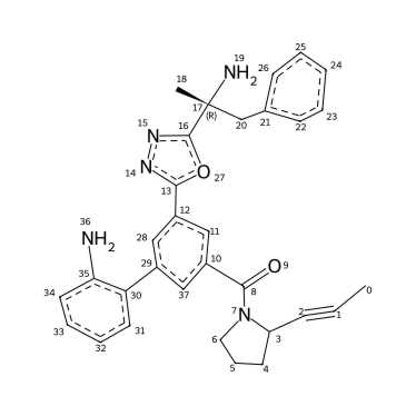 CC#CC1CCCN1C(=O)c1cc(-c2nnc([C@](C)(N)Cc3ccccc3)o2)cc(-c2ccccc2N)c1